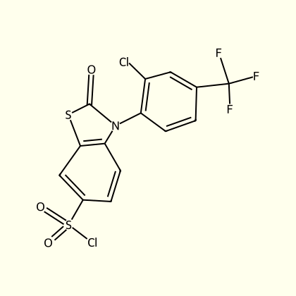 O=c1sc2cc(S(=O)(=O)Cl)ccc2n1-c1ccc(C(F)(F)F)cc1Cl